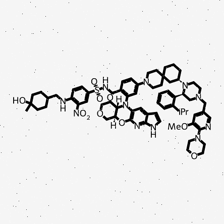 COc1cc(CN2CCN([C@H]3CCCC4(CCN(c5ccc(C(=O)NS(=O)(=O)c6ccc(NCC7CCC(C)(O)CC7)c([N+](=O)[O-])c6)c(N6c7cc8cc[nH]c8nc7O[C@H]7COCC[C@@H]76)c5)CC4)C3)[C@H](c3ccccc3C(C)C)C2)cnc1N1CCOCC1